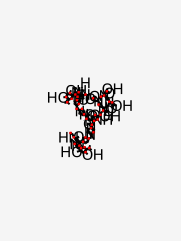 CCNC(=O)c1nnc(-c2cc(C(C)C)c(O)cc2O)n1-c1ccc(CN2CCN(C(=O)C[C@H](NC(=O)CC[C@H](C(=O)O)N3CCN(CC(=O)O)CCN(CC(=O)O)CCN(CC(=O)O)CC3)C(=O)N[C@H](C)C(=O)N3CCN(Cc4ccc(-n5c(C(=O)NCC)nnc5-c5cc(C(C)C)c(O)cc5O)cc4)CC3)CC2)cc1